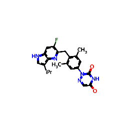 Cc1cc(-n2ncc(=O)[nH]c2=O)cc(C)c1Cc1nc2c(C(C)C)c[nH]c2cc1F